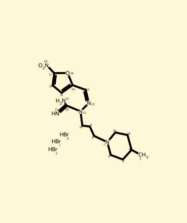 Br.Br.Br.CC1CCN(CCCN(/N=C\c2ccc([N+](=O)[O-])o2)C(=N)N)CC1